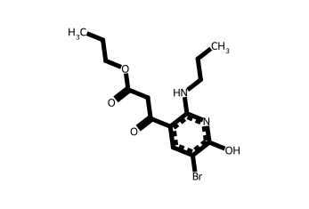 CCCNc1nc(O)c(Br)cc1C(=O)CC(=O)OCCC